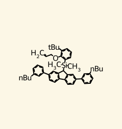 C=CCOc1c(C(C)(C)C)cccc1[Si](C)(C)C1c2cc(-c3cccc(CCCC)c3)ccc2-c2ccc(-c3cccc(CCCC)c3)cc21